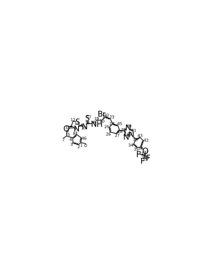 Cc1ccc(C(C)C)c(N2C(=O)CS/C2=N\C(=S)NCC/C(Br)=C\c2cccc(-c3ncn(-c4ccc(OC(F)(F)F)cc4)n3)c2)c1